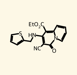 CCOC(=O)c1c(NCc2cccs2)c(C#N)c(=O)n2ccccc12